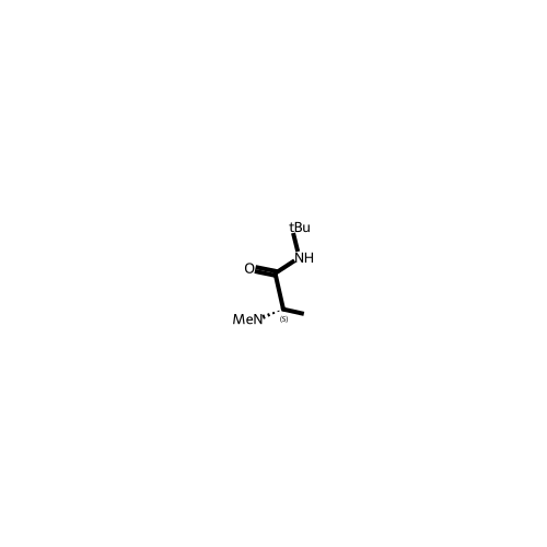 CN[C@@H](C)C(=O)NC(C)(C)C